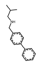 CC(C)CNCc1ccc(-c2c[c]ccc2)cc1